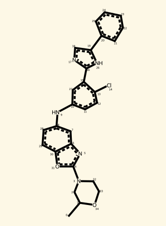 CC1CN(c2nc3cc(Nc4ccc(Cl)c(-c5ncc(-c6ccccc6)[nH]5)c4)ccc3o2)CCO1